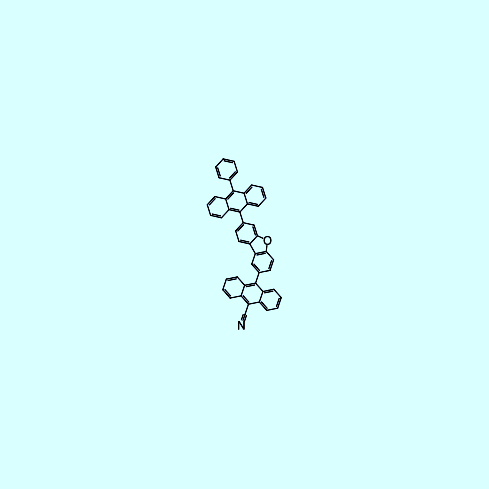 N#Cc1c2ccccc2c(-c2ccc3oc4cc(-c5c6ccccc6c(-c6ccccc6)c6ccccc56)ccc4c3c2)c2ccccc12